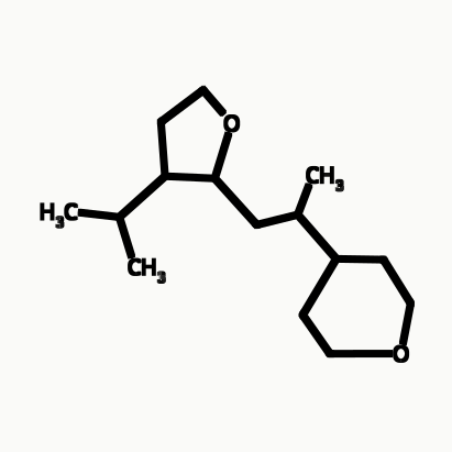 CC(C)C1CCOC1CC(C)C1CCOCC1